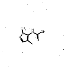 Cn1ncc(I)c1NC(=O)O